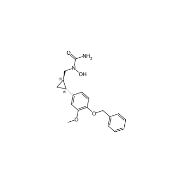 COc1cc([C@@H]2C[C@H]2CN(O)C(N)=O)ccc1OCc1ccccc1